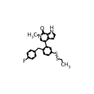 CCSSc1ccc(Cc2ccc(F)cc2)c(-c2cn(C)c(=O)c3[nH]ccc23)c1